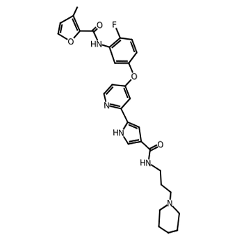 Cc1ccoc1C(=O)Nc1cc(Oc2ccnc(-c3cc(C(=O)NCCCN4CCCCC4)c[nH]3)c2)ccc1F